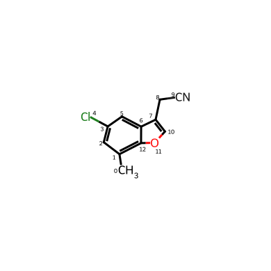 Cc1cc(Cl)cc2c(CC#N)coc12